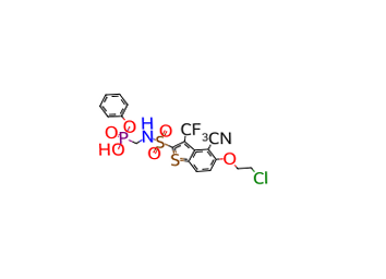 N#Cc1c(OCCCl)ccc2sc(S(=O)(=O)NCP(=O)(O)Oc3ccccc3)c(C(F)(F)F)c12